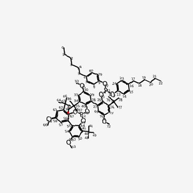 CCCCCCc1ccc(OP(Oc2ccc(CCCCCC)cc2)Oc2c(-c3cc(OC)cc(C(C)(C)CC)c3Op3oc4c(C(C)(C)C)cc(OC)cc4c4cc(OC)cc(C(C)(C)C)c4o3)cc(OC)cc2C(C)(C)C)cc1